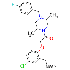 CNCc1cc(Cl)ccc1OCC(=O)N1CC(C)N(Cc2ccc(F)cc2)CC1C